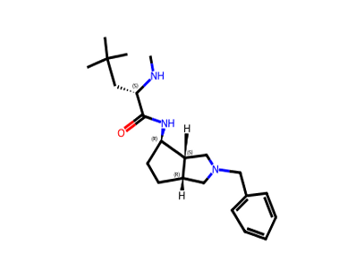 CN[C@@H](CC(C)(C)C)C(=O)N[C@@H]1CC[C@H]2CN(Cc3ccccc3)C[C@H]21